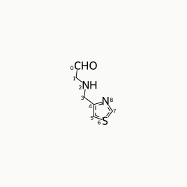 O=CCNCc1cscn1